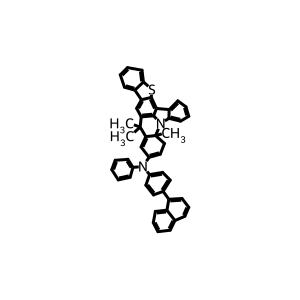 CC1(C)C2=CC(N(c3ccccc3)c3ccc(-c4cccc5ccccc45)cc3)=CCC2(C)n2c3ccccc3c3c4sc5ccccc5c4cc1c32